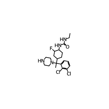 CCNC(=O)NC1CCC(C(C)(c2cccc(Cl)c2Cl)N2CCNCC2)CC1F